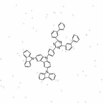 c1ccc(-c2cccc(-c3nc(-c4ccc(-n5c6ccc(-n7c8ccccc8c8ccccc87)cc6c6cc(-n7c8ccccc8c8ccccc87)ccc65)cc4)nc(-c4cccc(-c5ccccc5)c4)n3)c2)cc1